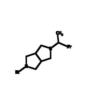 CCN1CC2CN(C(C)C(C)C)CC2C1